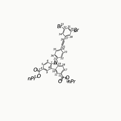 CCCOC(=O)c1ccc2c(c1)c1cc(C(=O)OCCC)ccc1n2-c1ccc(C#Cc2cc(Br)cc(Br)c2)cc1